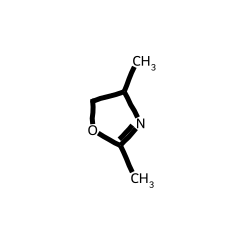 CC1=NC(C)CO1